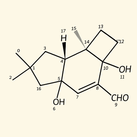 CC1(C)C[C@H]2C(O)(C=C(C=O)C3(O)[C]C[C@]23C)C1